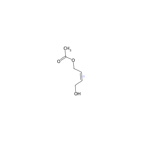 CC(=O)OC/C=C\CO